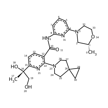 C[C@@H]1CN(c2cccc(NC(=O)c3ccc([C@@](C)(O)CO)nc3N3CCC4(CC3)CC4)n2)CCO1